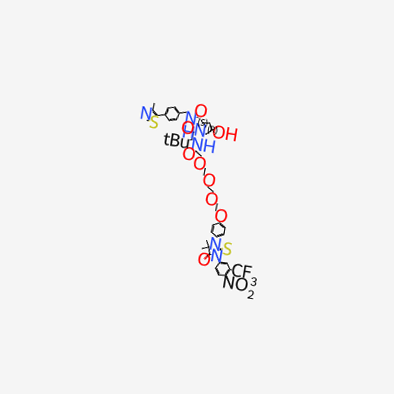 Cc1ncsc1-c1ccc(CNC(=O)[C@@H]2C[C@@H](O)CN2C(=O)C(NC(=O)COCCOCCOCCOc2ccc(N3C(=S)N(c4ccc([N+](=O)[O-])c(C(F)(F)F)c4)C(=O)C3(C)C)cc2)C(C)(C)C)cc1